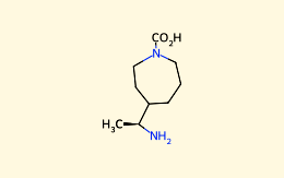 C[C@H](N)C1CCCN(C(=O)O)CC1